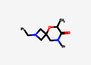 CC(C)CN1CC2(C1)CN(C(C)C)C(=O)C(C)O2